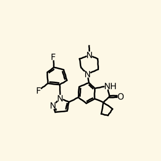 CN1CCN(c2cc(-c3ccnn3-c3ccc(F)cc3F)cc3c2NC(=O)C32CCC2)CC1